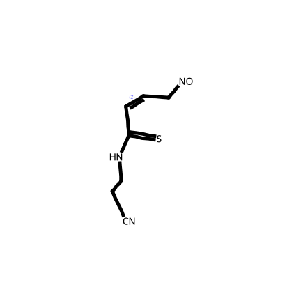 N#CCCNC(=S)/C=C\CN=O